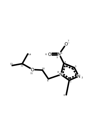 Cc1ncc([N+](=O)[O-])n1CCOC(C)C